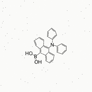 OB(O)c1c2ccccc2c(N(c2ccccc2)c2ccccc2)c2ccccc12